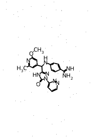 COc1cc(C(Nc2ccc(C(=N)N)cc2)c2nn(-c3cccnn3)c(=O)[nH]2)cc(C)n1